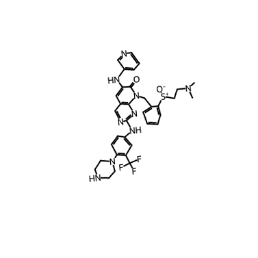 CN(C)CC[S+]([O-])c1ccccc1Cn1c(=O)c(Nc2cccnc2)cc2cnc(Nc3ccc(N4CCNCC4)c(C(F)(F)F)c3)nc21